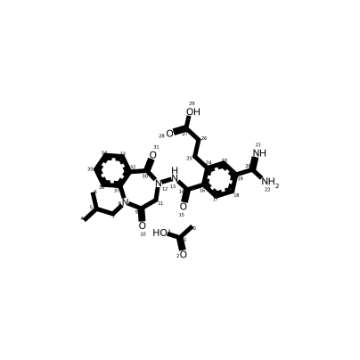 CC(=O)O.CC(C)CN1C(=O)CN(NC(=O)c2ccc(C(=N)N)cc2CCC(=O)O)C(=O)c2ccccc21